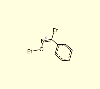 CCO/N=C(/CC)c1ccccc1